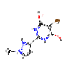 Cn1ccc(-c2nc(O)c(Br)c(O)n2)n1